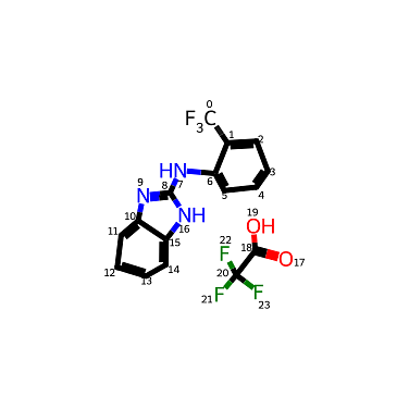 FC(F)(F)c1ccccc1Nc1nc2ccccc2[nH]1.O=C(O)C(F)(F)F